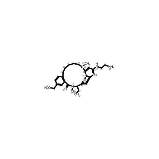 CCc1ccc2c(c1)C(=O)N(C)C(CC)c1cc3nc(NCCN)cc(n3n1)N(C)CCCCC2